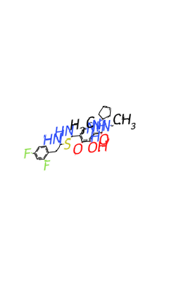 CCN(C(=O)c1[nH]cc(C(=N)SC(=N)Cc2ccc(F)cc2F)c(=O)c1O)C1(NC)CCCC1